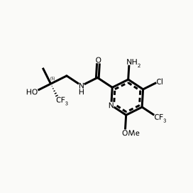 COc1nc(C(=O)NC[C@](C)(O)C(F)(F)F)c(N)c(Cl)c1C(F)(F)F